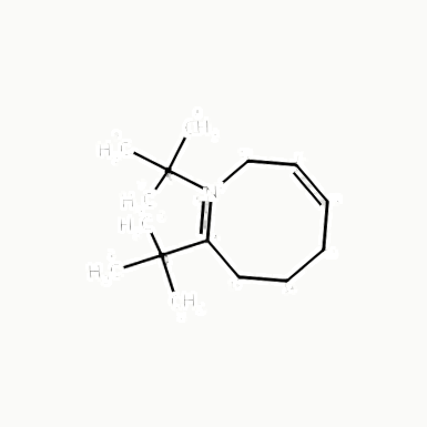 CC(C)(C)/C1=[N+](\C(C)(C)C)C/C=C\CCC1